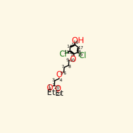 CCOC(CCOCCCCOc1c(Cl)cc(O)cc1Cl)OCC